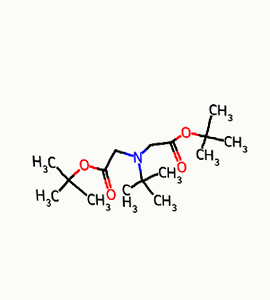 CC(C)(C)OC(=O)CN(CC(=O)OC(C)(C)C)C(C)(C)C